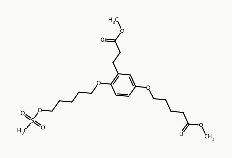 COC(=O)CCCCOc1ccc(OCCCCCOS(C)(=O)=O)c(CCC(=O)OC)c1